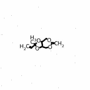 C=CC1(C)OC2COC(=C)OCC2O1